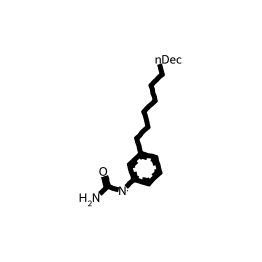 CCCCCCCCCCCCCCCCc1cccc([N]C(N)=O)c1